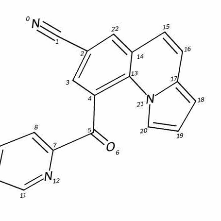 N#Cc1cc(C(=O)c2ccccn2)c2c(ccc3cccn32)c1